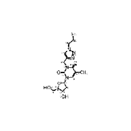 Cc1cn(C2C[C@H](O)[C@@H](CO)O2)c(=O)n(Cc2cn(CCF)nn2)c1=O